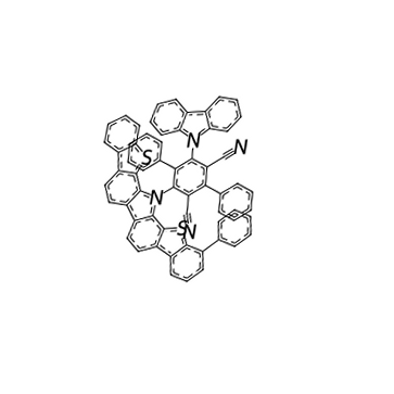 N#Cc1c(-c2ccccc2)c(C#N)c(-n2c3c(ccc4c5ccccc5sc43)c3ccc4c5cccc(-c6ccccc6)c5sc4c32)c(-c2ccccc2)c1-n1c2ccccc2c2ccccc21